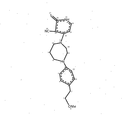 COCCc1ccc(N2CCCN(c3cc[nH]c(=S)c3C#N)CC2)cc1